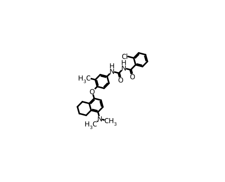 Cc1cc(NC(=O)NC(=O)c2ccccc2Cl)ccc1Oc1ccc(N(C)C)c2c1CCCC2